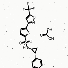 O=C(O)O.O=S(=O)(N[C@H]1C[C@@H]1c1ccccc1)c1ccc(-c2cc(C(F)(F)F)on2)s1